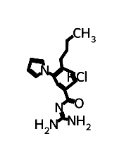 CCCCc1ccc(C(=O)N=C(N)N)cc1-n1cccc1.Cl